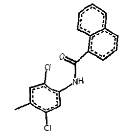 Cc1cc(Cl)c(NC(=O)c2cccc3ccccc23)cc1Cl